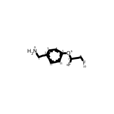 NCc1ccc(OC(F)CF)cc1